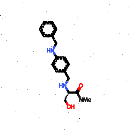 CNC(=O)[C@H](CO)NCc1ccc(NCc2ccccc2)cc1